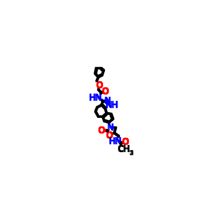 CC(=O)NCC1CN(c2ccc3c(c2)CCCc2c(NC(=O)COCc4ccccc4)n[nH]c2-3)C(=O)O1